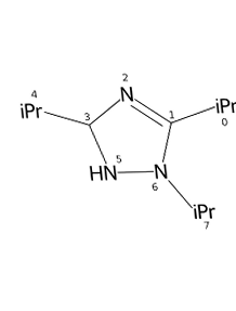 CC(C)C1=NC(C(C)C)NN1C(C)C